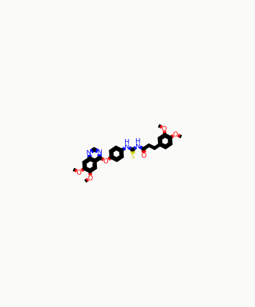 COc1ccc(CCC(=O)NC(=S)Nc2ccc(Oc3ncnc4cc(OC)c(OC)cc34)cc2)cc1OC